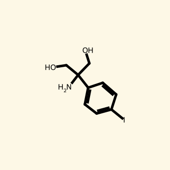 NC(CO)(CO)c1ccc(I)cc1